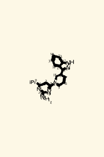 CC(C)c1cc(N2CCCC(c3n[nH]c4ccccc34)C2)nc(N)n1